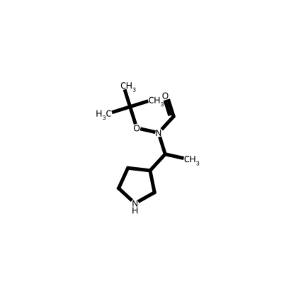 CC(C1CCNC1)N(C=O)OC(C)(C)C